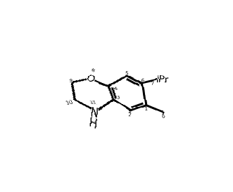 Cc1cc2c(cc1C(C)C)OCCN2